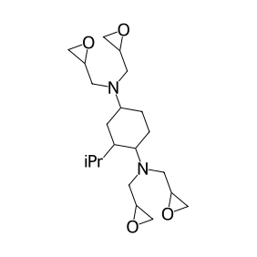 CC(C)C1CC(N(CC2CO2)CC2CO2)CCC1N(CC1CO1)CC1CO1